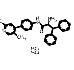 Cc1cc(-c2ccc(NC(=O)[C@@H](N)C(c3ccccc3)c3ccccc3)cc2)c(C)cn1.Cl.Cl